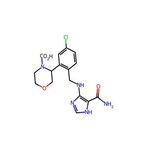 NC(=O)c1[nH]cnc1NCc1ccc(Cl)cc1C1COCCN1C(=O)O